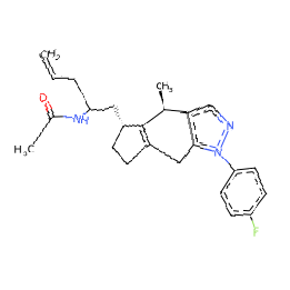 C=CCC(C[C@H]1CCC2=C1[C@@H](C)c1cnn(-c3ccc(F)cc3)c1C2)NC(C)=O